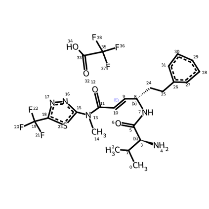 CC(C)[C@H](N)C(=O)N[C@H](/C=C/C(=O)N(C)c1nnc(C(F)(F)F)s1)CCc1ccccc1.O=C(O)C(F)(F)F